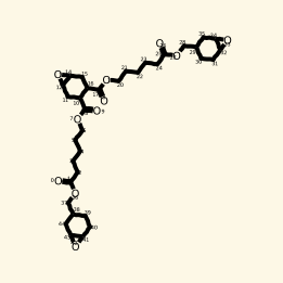 O=C(CCCCCOC(=O)C1CC2OC2CC1C(=O)OCCCCCC(=O)OCC1CCC2OC2C1)OCC1CCC2OC2C1